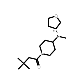 CN(C1CCN(C(=O)CC(C)(C)C)CC1)[C@@H]1CCOC1